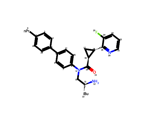 CCCc1ccc(-c2ccc(N(C[C@@H](N)[C@@H](C)CC)C(=O)[C@H]3C[C@@H]3c3ncccc3F)cc2)cc1